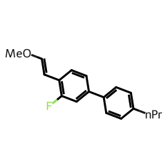 CCCc1ccc(-c2ccc(C=COC)c(F)c2)cc1